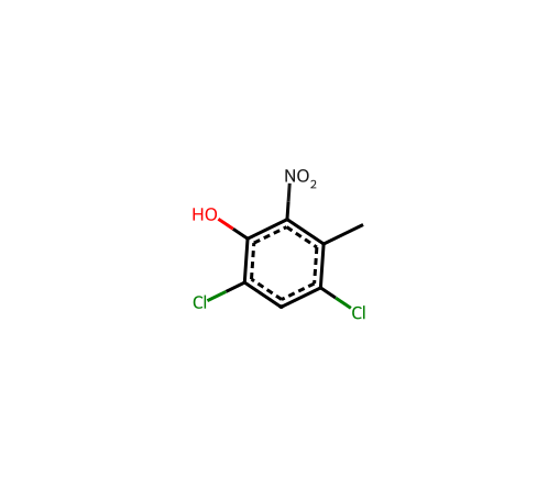 Cc1c(Cl)cc(Cl)c(O)c1[N+](=O)[O-]